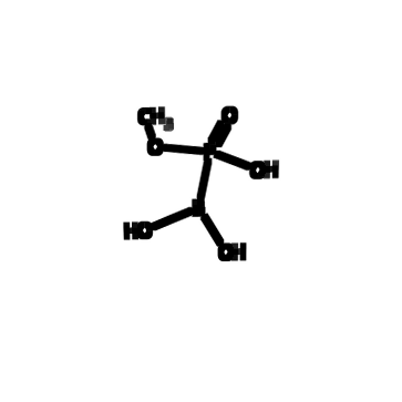 COP(=O)(O)B(O)O